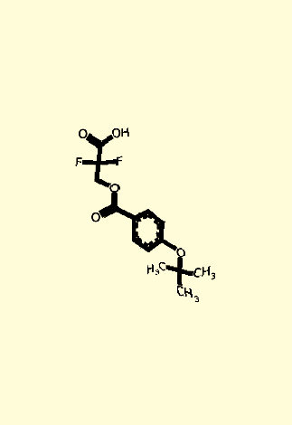 CC(C)(C)Oc1ccc(C(=O)OCC(F)(F)C(=O)O)cc1